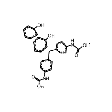 O=C(O)Nc1ccc(Cc2ccc(NC(=O)O)cc2)cc1.Oc1ccccc1.Oc1ccccc1